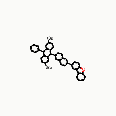 CC(C)(C)c1ccc2c(-c3ccc4cc(-c5ccc6oc7ccccc7c6c5)ccc4c3)c3cc(C(C)(C)C)ccc3c(-c3ccccc3)c2c1